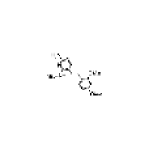 CCCCNc1nc(N)ncc1CCc1ccc(OC)cc1OC